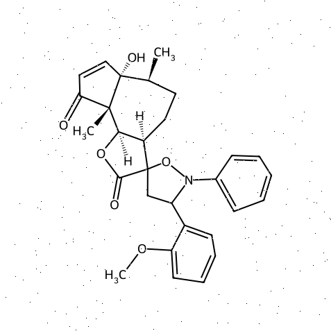 COc1ccccc1C1CC2(ON1c1ccccc1)C(=O)O[C@@H]1[C@H]2CC[C@H](C)[C@]2(O)C=CC(=O)[C@@]12C